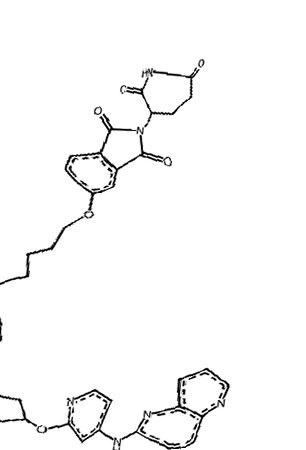 O=C1CCC(N2C(=O)c3ccc(OCCCCCC4CCN(CC5CC(Oc6cc(Nc7ccc8ncccc8n7)ccn6)C5)CC4)cc3C2=O)C(=O)N1